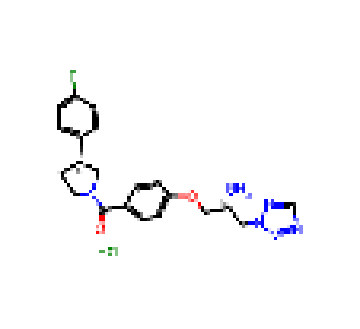 Cl.N[C@@H](COc1ccc(C(=O)N2CC[C@@H](c3ccc(F)cc3)C2)cc1)Cn1ncnn1